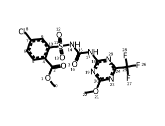 COC(=O)c1ccc(Cl)cc1S(=O)(=O)NC(=O)Nc1nc(OC)nc(C(F)(F)F)n1